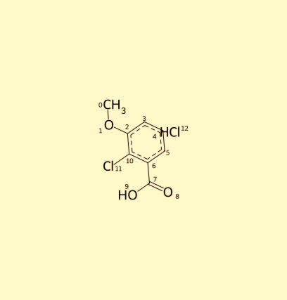 COc1cccc(C(=O)O)c1Cl.Cl